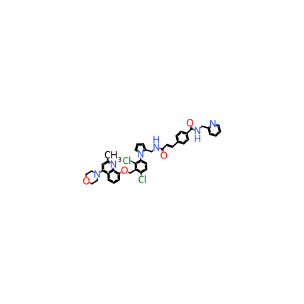 Cc1cc(N2CCOCC2)c2cccc(OCc3c(Cl)ccc(-n4cccc4CNC(=O)C=Cc4ccc(C(=O)NCc5ccccn5)cc4)c3Cl)c2n1